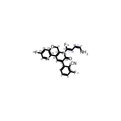 N#Cc1c(F)cccc1-c1cc2c(n(/C(F)=C/C=C\N)c1=O)COc1cc(F)cnc1-2